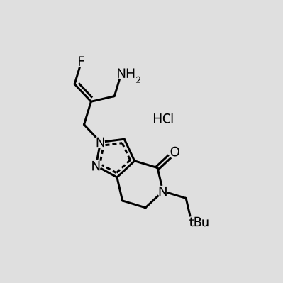 CC(C)(C)CN1CCc2nn(CC(=CF)CN)cc2C1=O.Cl